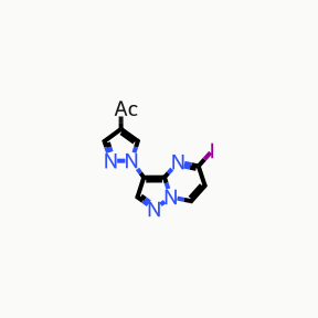 CC(=O)c1cnn(-c2cnn3ccc(I)nc23)c1